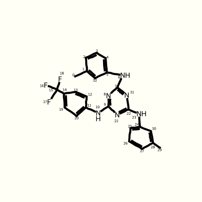 Cc1cccc(Nc2nc(Nc3ccc(C(F)(F)F)cc3)nc(Nc3cccc(C)c3)n2)c1